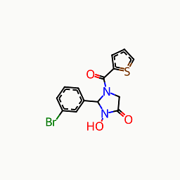 O=C1CN(C(=O)c2cccs2)C(c2cccc(Br)c2)N1O